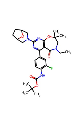 CCN1CC(C)(C)Oc2nc(N3CC4CCC(C3)O4)nc(-c3ccc(NC(=O)OC(C)(C)C)c(F)c3)c2C1=O